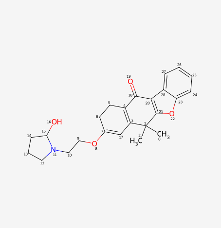 CC1(C)C2=C(CCC(OCCN3CCCC3O)=C2)C(=O)c2c1oc1ccccc21